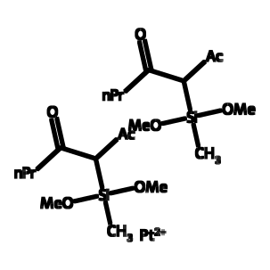 CCCC(=O)C(C(C)=O)[Si](C)(OC)OC.CCCC(=O)C(C(C)=O)[Si](C)(OC)OC.[Pt+2]